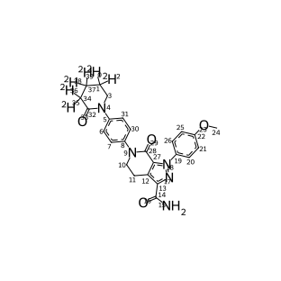 [2H]C1([2H])CN(c2ccc(N3CCc4c(C(N)=O)nn(-c5ccc(OC)cc5)c4C3=O)cc2)C(=O)C([2H])([2H])C1([2H])[2H]